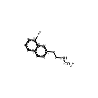 O=C(O)NCCc1ccc2cccc(F)c2c1